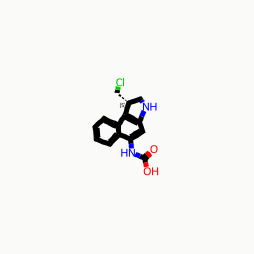 O=C(O)Nc1cc2c(c3ccccc13)[C@H](CCl)CN2